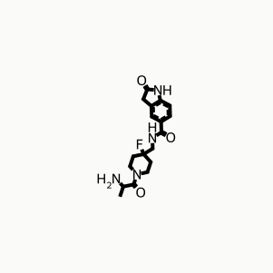 CC(N)C(=O)N1CCC(F)(CNC(=O)c2ccc3c(c2)CC(=O)N3)CC1